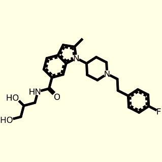 Cc1cc2ccc(C(=O)NCC(O)CO)cc2n1C1CCN(CCc2ccc(F)cc2)CC1